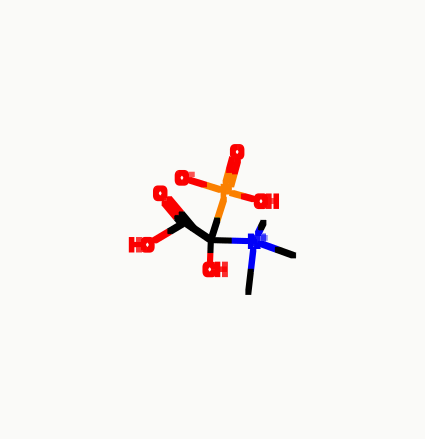 C[N+](C)(C)C(O)(C(=O)O)P(=O)([O-])O